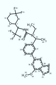 CCN(C(=O)NC(C1CC(F)(F)CCO1)C(F)(F)F)C(C)c1cccc(-c2cn3ccnc3c(OC)n2)c1